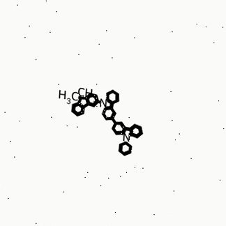 CC1(C)c2ccccc2-c2cc(-n3c4c(c5c3CCC(C3C=c6c(n(C7C=CC=CC7)c7ccccc67)=CC3)=C5)C=CCC4)ccc21